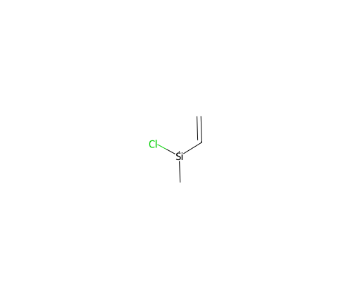 C=C[Si](C)Cl